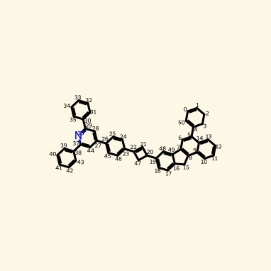 C1=CCCC(c2cc3c(c4ccccc24)Cc2ccc(C4C=C(c5ccc(-c6cc(-c7ccccc7)nc(-c7ccccc7)c6)cc5)C4)cc2-3)=C1